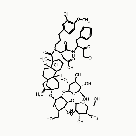 C=C1C[C@@]23CC[C@H]4[C@@](C)(CCC[C@@]4(C)C(=O)N(CCCc4ccc(OC)c(O)c4)[C@H](CC(=O)O)C(=O)NC(Cc4ccccc4)C(=O)CO)[C@@H]2CC[C@]1(O[C@@H]1O[C@H](CO)[C@@H](O)[C@H](O[C@@H]2O[C@H](CO)[C@@H](C)[C@H](O)[C@H]2O)[C@H]1O[C@@H]1O[C@H](CO)[C@@H](O)[C@H](O)[C@H]1O)C3